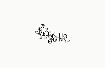 CCC(=O)NCC1CN(c2ccc3c(c2)CC(C)N3C=O)C(=O)O1